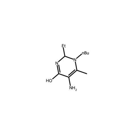 CCCCN1C(C)=C(N)C(O)=NC1CC